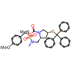 CNS(=O)(=O)N(C)C[C@@H]1C[C@H](SC(c2ccccc2)(c2ccccc2)c2ccccc2)CN1C(=O)OCc1ccc(OC)cc1